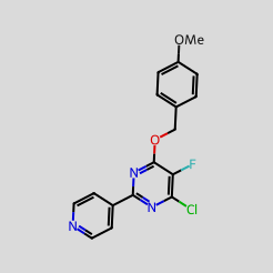 COc1ccc(COc2nc(-c3ccncc3)nc(Cl)c2F)cc1